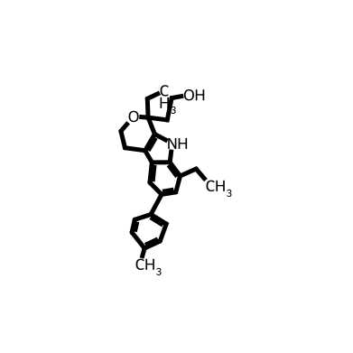 CCc1cc(-c2ccc(C)cc2)cc2c3c([nH]c12)C(CC)(CCO)OCC3